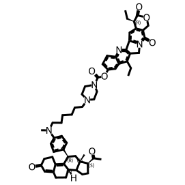 CCc1c2c(nc3ccc(OC(=O)N4CCN(CCCCCCN(C)c5ccc([C@H]6C[C@@]7(C)C(CC[C@@H]7C(C)=O)[C@@H]7CCC8=CC(=O)CCC8=C76)cc5)CC4)cc13)-c1cc3c(c(=O)n1C2)COC(=O)[C@@H]3CC